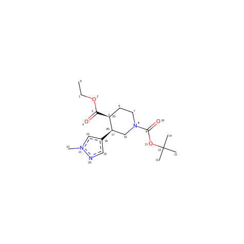 CCOC(=O)[C@H]1CCN(C(=O)OC(C)(C)C)C[C@H]1c1cnn(C)c1